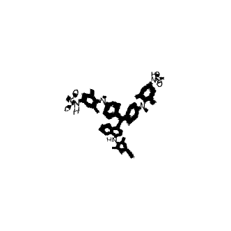 Cc1cc(C)c(Nc2ccc(C(c3ccc(N(C)c4c(C)cc(NS(C)(=O)=O)cc4C)cc3)c3ccc(N(C)c4c(C)cc(NS(C)(=O)=O)cc4C)cc3)c3ccccc23)c(C)c1